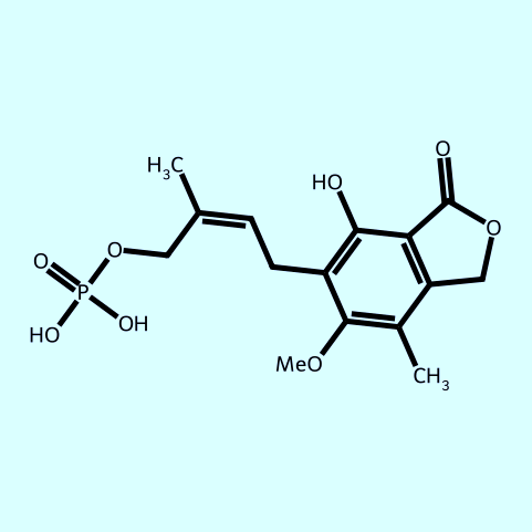 COc1c(C)c2c(c(O)c1CC=C(C)COP(=O)(O)O)C(=O)OC2